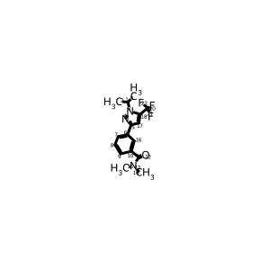 CC(C)n1nc(-c2cccc(C(=O)N(C)C)c2)cc1C(F)(F)F